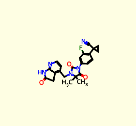 CC1(C)C(=O)N(c2ccc(C3(C#N)CC3)c(F)c2)C(=O)N1Cc1ccnc2c1CC(=O)N2